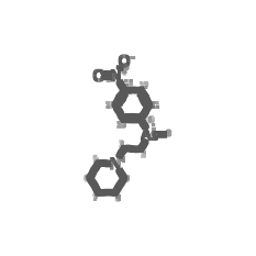 C[As](CCN1CCCCC1)c1ccc([N+](=O)[O-])cc1